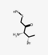 CCCSCC(=O)[C@@H](N)[C@H](C)C(C)C